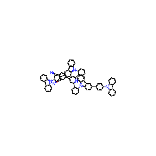 N#Cc1ccc(-c2cc(-c3ccccc3-n3c4ccccc4c4cc(-c5ccc(-n6c7ccccc7c7ccccc76)cc5)ccc43)nc(-c3ccccc3-n3c4ccccc4c4cc(-c5ccc(-n6c7ccccc7c7ccccc76)cc5)ccc43)c2)cc1C#N